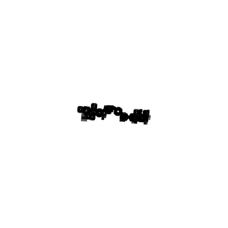 CC(Oc1cc(-c2cnn(C3CCC(CN4CC5CCC4CN5c4cc5c(cc4F)C(=O)N(C4CCC(=O)NC4=O)C5=O)CC3)c2)cnc1N)c1c(Cl)ccc(F)c1Cl